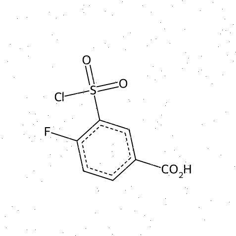 O=C(O)c1ccc(F)c(S(=O)(=O)Cl)c1